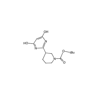 CC(C)(C)OC(=O)N1CCCC(c2nc(O)cc(O)n2)C1